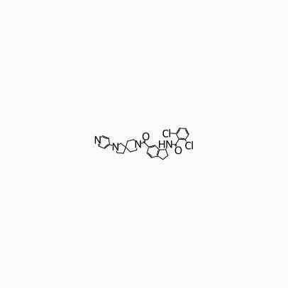 O=C(NC1CCc2ccc(C(=O)N3CCC4(CC3)CCN(c3ccncc3)C4)cc21)c1c(Cl)cccc1Cl